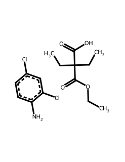 CCOC(=O)C(CC)(CC)C(=O)O.Nc1ccc(Cl)cc1Cl